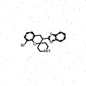 Brc1cccc2c1OC1(CCNCC1)C(c1nc3ccccc3s1)C2